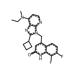 CCN(C)c1ccnc2c1nc(C1CCC1)n2Cc1cc(=O)[nH]c2c(F)c(F)ccc12